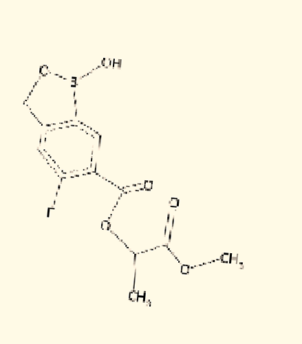 COC(=O)C(C)OC(=O)c1cc2c(cc1F)COB2O